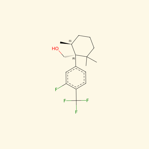 C[C@H]1CCCC(C)(C)[C@@]1(CO)c1ccc(C(F)(F)F)c(F)c1